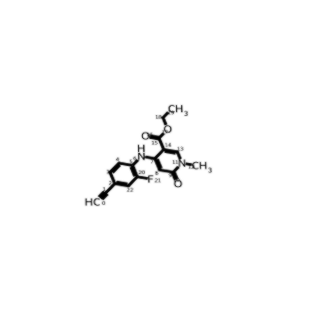 C#Cc1ccc(Nc2cc(=O)n(C)cc2C(=O)OCC)c(F)c1